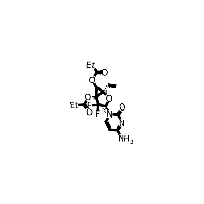 C=C[C@]12O[C@@H](n3ccc(N)nc3=O)C(F)(F)[C@@]1(OC(=O)CC)C2OC(=O)CC